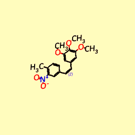 COc1cc(/C=C\c2ccc(C)c([N+](=O)[O-])c2)cc(OC)c1OC